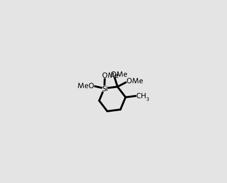 COC1(OC)C(C)CCC[Si]1(OC)OC